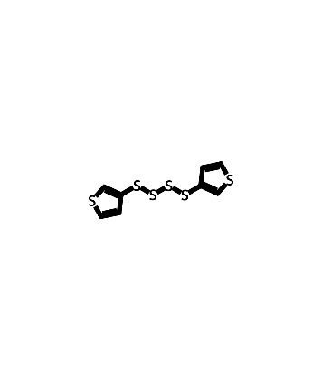 c1cc(SSSSc2ccsc2)cs1